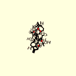 C=C1C2C(=O)[C@]34[C@H]2[C@H]1CC[C@H]3[C@@]12C(=C)O[C@]4(OC(C)(O)C3C4C(=O)[C@]56CO[C@](O)([C@@H](O)[C@@H]5C(C)(C)C43)[C@]34C(=O)C(=C)[C@H](CC[C@@H]63)[C@@H]4O)[C@@H](O)[C@@H]1C(C)(C)C1NC(=O)C1C2O